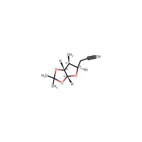 C#CC[C@@]1(CC)O[C@@H]2OC(C)(C)O[C@@H]2[C@H]1C